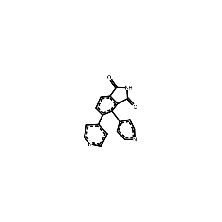 O=C1NC(=O)c2c1ccc(-c1ccncc1)c2-c1ccncc1